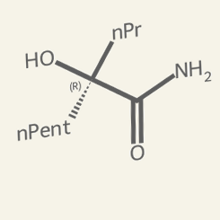 CCCCC[C@](O)(CCC)C(N)=O